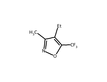 CCc1c(C)noc1C(F)(F)F